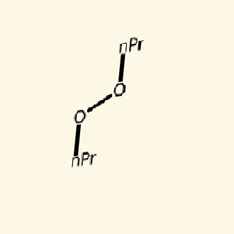 CCCOOCCC